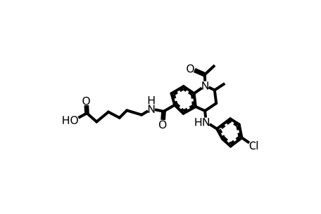 CC(=O)N1c2ccc(C(=O)NCCCCCC(=O)O)cc2C(Nc2ccc(Cl)cc2)CC1C